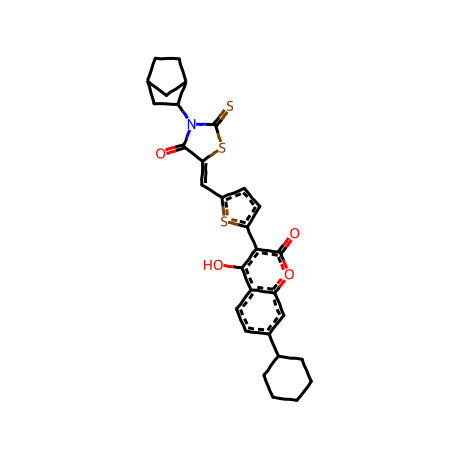 O=C1C(=Cc2ccc(-c3c(O)c4ccc(C5CCCCC5)cc4oc3=O)s2)SC(=S)N1C1CC2CCC1C2